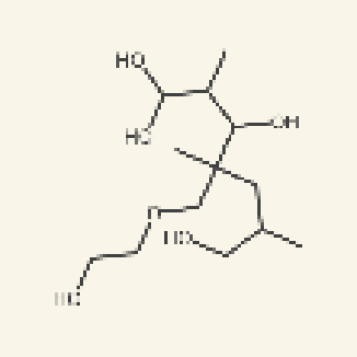 CC(CO)CC(C)(COCCO)C(O)C(C)C(O)O